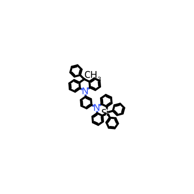 CC1(c2ccccc2)c2ccccc2N(c2cccc(N3c4ccccc4[Si](c4ccccc4)(c4ccccc4)c4ccccc43)c2)c2ccccc21